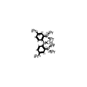 CC(C)c1ccc(N(C)c2ccc(C(C)C)cc2P(C(C)C)C(C)C)c(P(C(C)C)C(C)C)c1